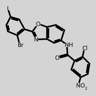 O=C(Nc1ccc2oc(-c3cc(I)ccc3Br)nc2c1)c1cc([N+](=O)[O-])ccc1Cl